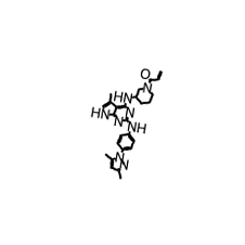 C=CC(=O)N1CCCC(Nc2nc(Nc3ccc(-n4nc(C)cc4C)cc3)nc3[nH]cc(C)c23)C1